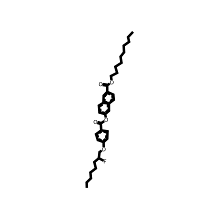 CCCCCCCCCCOC(=O)c1ccc2cc(OC(=O)c3ccc(OCC(F)CCCCCC)cc3)ccc2c1